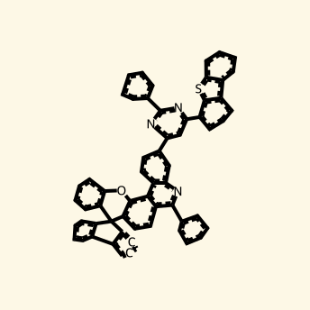 c1ccc(-c2nc(-c3ccc4c(c3)nc(-c3ccccc3)c3ccc5c(c34)Oc3ccccc3C53c4ccccc4-c4ccccc43)cc(-c3cccc4c3sc3ccccc34)n2)cc1